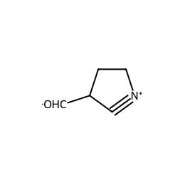 O=[C]C1C#[N+]CC1